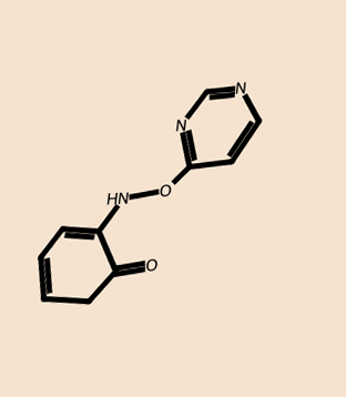 O=C1CC=CC=C1NOc1ccncn1